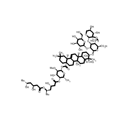 CC[C@H](C)[C@H](C[C@H](O)CC(=O)O[C@@H]1[C@H](O)[C@@H](OC)[C@H](OC(=O)[C@@]23CCC4C(=CC[C@@H]5[C@@]6(C)CC[C@H](O[C@@H]7O[C@H](C(=O)O)[C@@H](O)[C@H](O[C@@H]8OC[C@@H](O)[C@H](O)[C@@]8(O)OF)[C@H]7O[C@@H]7O[C@H](CO)[C@H](O)[C@H](O)[C@H]7O)[C@@](C)(C=O)[C@@H]6CC[C@@]45C)[C@@H]2CC(C)(C)CC3)O[C@@H]1C)OC(=O)C[C@@H](O)C[C@H](O)[C@@H](C)CC